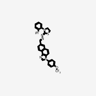 CC(C)c1ccccc1N1CCSC1=NN=Cc1ccc2c(ccc3c2ncn3-c2ccc(OC(F)(F)F)cc2)c1